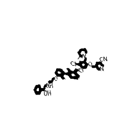 Cc1c(COc2cc(OCc3cncc(C#N)c3)c(CN3CCCC[C@H]3C)cc2Cl)cccc1-c1cccc(OCCCNC[C@H](O)c2ccccc2)c1C